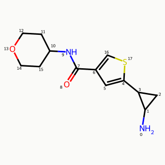 NC1CC1c1cc(C(=O)NC2CCOCC2)cs1